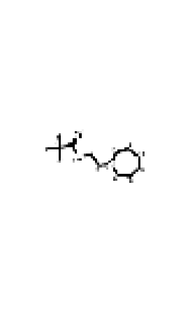 CC(C)(C)C(=O)OCCN1CCCCCC1